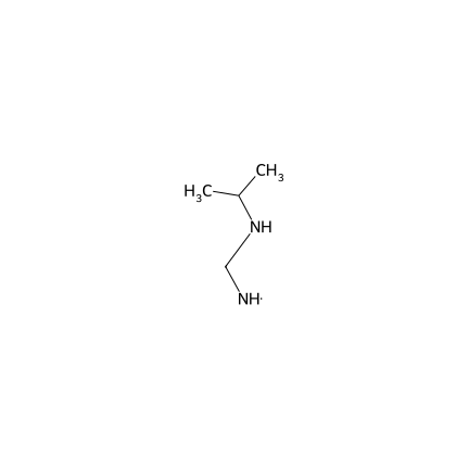 CC(C)NC[NH]